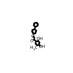 Cc1cc(C(=O)COc2ccc(-c3ccccc3)cc2)c(O)cc1O